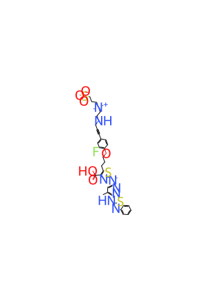 Cc1cc(N(C)c2nc(C(=O)O)c(CCCOc3ccc(C#CCNCC[N+](C)(C)CCCS(=O)(=O)[O-])cc3F)s2)nnc1Nc1nc2ccccc2s1